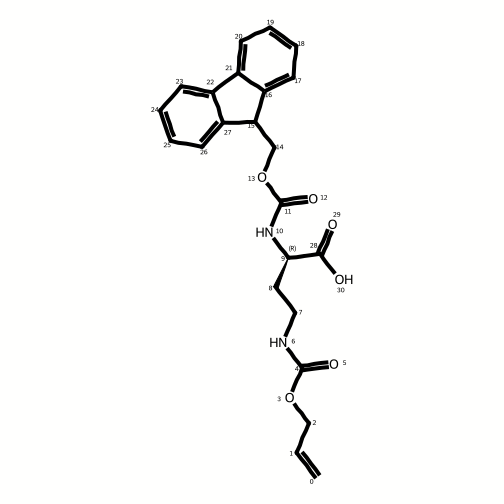 C=CCOC(=O)NCC[C@@H](NC(=O)OCC1c2ccccc2-c2ccccc21)C(=O)O